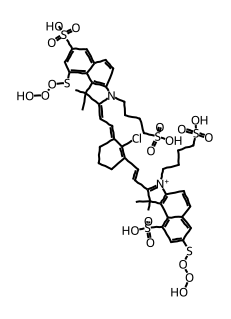 CC1(C)C(=CC=C2CCCC(C=CC3=[N+](CCCCS(=O)(=O)O)c4ccc5cc(SOOO)cc(S(=O)(=O)O)c5c4C3(C)C)=C2Cl)N(CCCCS(=O)(=O)O)c2ccc3cc(S(=O)(=O)O)cc(SOOO)c3c21